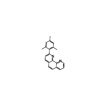 Cc1cc(C)c(-c2ccc3ccc4cccnc4c3n2)c(C)c1